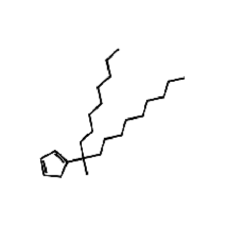 CCCCCCCCCC(C)(CCCCCCCC)C1=CC=CC1